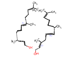 CC(C)=CCC/C(C)=C/CCC(C)=CCO.CC(C)=CCCC(C)/C=C/C/C(C)=C/CO